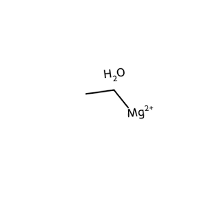 C[CH2][Mg+2].O